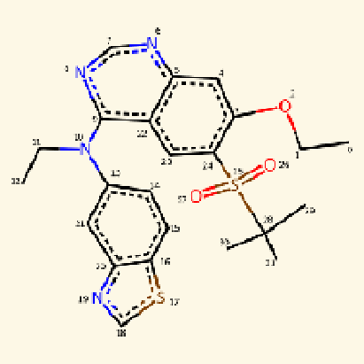 CCOc1cc2ncnc(N(CC)c3ccc4scnc4c3)c2cc1S(=O)(=O)C(C)(C)C